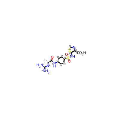 C[C@@H](N=C(N)N)C(=O)Nc1ccc(S(=O)(=O)Nc2scnc2C(=O)O)cc1